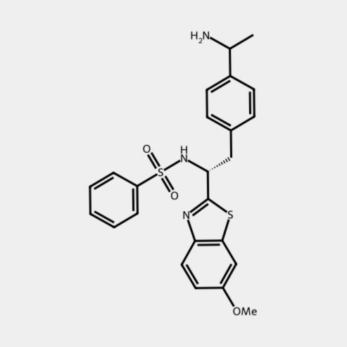 COc1ccc2nc([C@@H](Cc3ccc(C(C)N)cc3)NS(=O)(=O)c3ccccc3)sc2c1